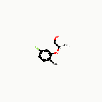 CCCCc1ccc(F)cc1O[C@@H](C)CO